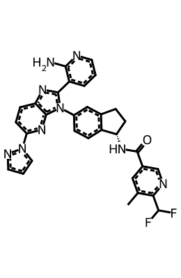 Cc1cc(C(=O)N[C@H]2CCc3cc(-n4c(-c5cccnc5N)nc5ccc(-n6cccn6)nc54)ccc32)cnc1C(F)F